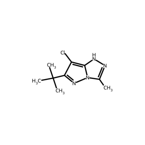 Cc1n[nH]c2c(Cl)c(C(C)(C)C)nn12